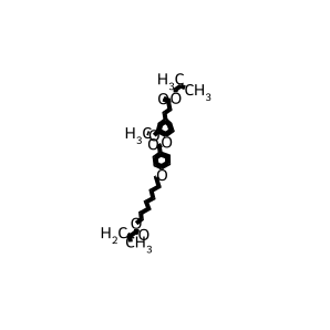 C=C(C)C(=O)OCCCCCCCCOc1ccc(C(=O)Oc2ccc(CCC(=O)OCC(C)C)cc2OC)cc1